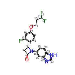 O=C1C[C@H](c2ccc(OCCC(F)F)cc2F)N1c1ccc2[nH]cnc2c1